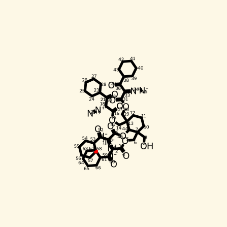 [N-]=[N+]=C(C(=O)OCC1(CO)CCCC(COC(=O)C(=[N+]=[N-])C(=O)C2CCCCC2)(COC(=O)C(=[N+]=[N-])C(=O)C2CCCCC2)C1OC(=O)C(=[N+]=[N-])C(=O)C1CCCCC1)C(=O)C1CCCCC1